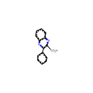 O=C(O)c1nc2ccccc2nc1-c1ccccc1